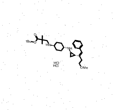 COCCC(=Cc1ccccc1)[C@@H]1C[C@H]1N[C@H]1CC[C@H](NCC(C)(C)C(=O)OC(C)(C)C)CC1.Cl.Cl